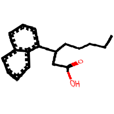 CCCCCC(CC(=O)O)c1cccc2ccccc12